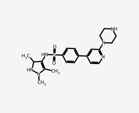 CC1=C(NS(=O)(=O)c2ccc(-c3ccnc(N4CCNCC4)c3)cc2)C(C)NN1C